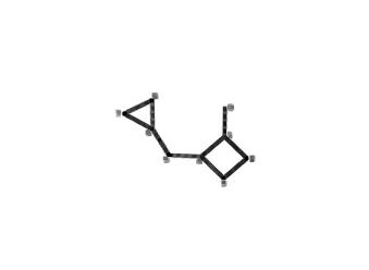 CC1CC[C]1CC1CC1